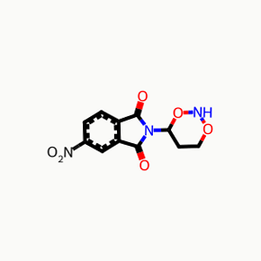 O=C1c2ccc([N+](=O)[O-])cc2C(=O)N1C1CCONO1